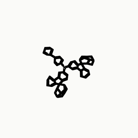 c1ccc(-c2ccc(N(c3ccc4c(c3)-c3ccccc3C43C4CC5CC(C4)CC3C5)c3ccc4c(c3)-c3ccccc3C43C4CC5CC(C4)CC3C5)cc2)cc1